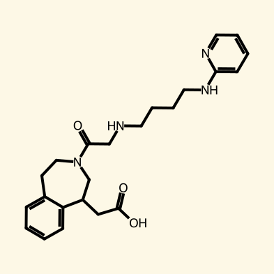 O=C(O)CC1CN(C(=O)CNCCCCNc2ccccn2)CCc2ccccc21